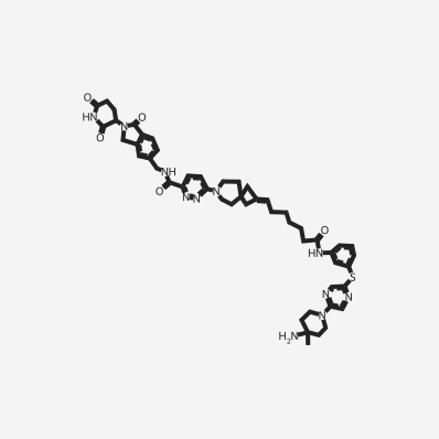 CC1(N)CCN(c2cnc(Sc3cccc(NC(=O)CCCCCC=C4CC5(CCN(c6ccc(C(=O)NCc7ccc8c(c7)CN(C7CCC(=O)NC7=O)C8=O)nn6)CC5)C4)c3)cn2)CC1